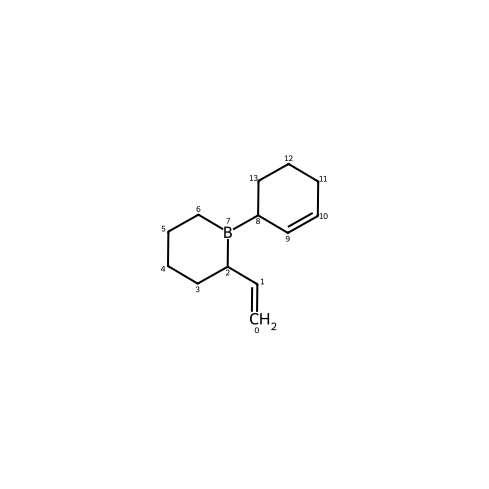 C=CC1CCCCB1C1C=CCCC1